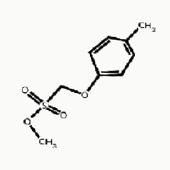 COS(=O)(=O)COc1ccc(C)cc1